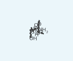 CCOC(=O)CCC(N)(NC(=O)c1sc(CCCO)cc1C)C(=O)OCC